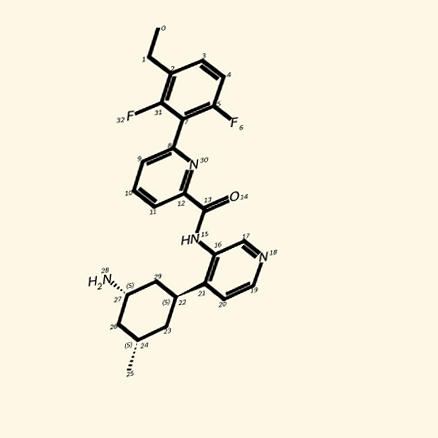 CCc1ccc(F)c(-c2cccc(C(=O)Nc3cnccc3[C@H]3C[C@H](C)C[C@H](N)C3)n2)c1F